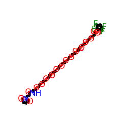 O=C(CCN1C(=O)C=CC1=O)NCCOCCOCCOCCOCCOCCOCCOCCOCCOCCOCCOCCOCCC(=O)Oc1c(F)c(F)cc(F)c1F